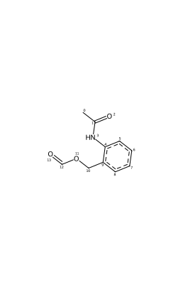 CC(=O)Nc1ccccc1COC=O